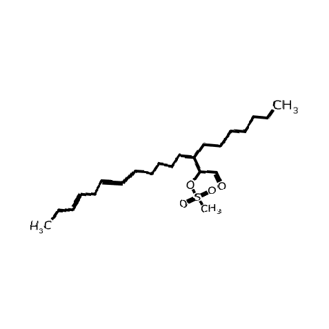 CCC=CCC=CCCCCCC(CCCCCCC)C(C=O)OS(C)(=O)=O